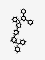 c1ccc(-c2cc(-c3ccccc3)cc(-n3c4ccccc4c4cc(-c5ccc(-c6cccc(N(c7ccccc7)c7ccccc7)c6)cc5)ccc43)c2)cc1